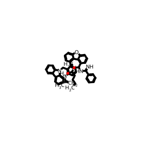 C=CCCC(C)N(C)C(NC(=N)c1ccccc1)c1cccc2oc3cccc(-c4cccc(OC(=C)C)c4Cn4c5ccccc5c5ccccc54)c3c12